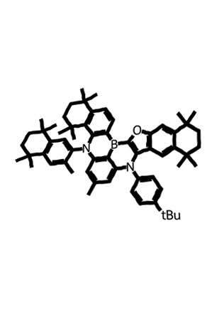 Cc1cc2c3c(c1)N(c1ccc(C(C)(C)C)cc1)c1c(oc4cc5c(cc14)C(C)(C)CCC5(C)C)B3c1ccc3c(c1N2c1cc2c(cc1C)C(C)(C)CCC2(C)C)C(C)(C)CCC3(C)C